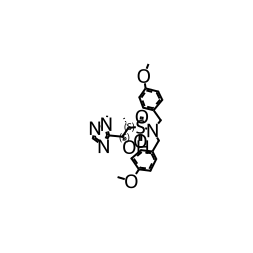 COc1ccc(CN(Cc2ccc(OC)cc2)S(=O)(=O)[C@@H](C)[C@@H](O)c2ncnn2C)cc1